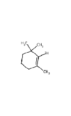 [2H]C1=C(C)CCCC1(C)C